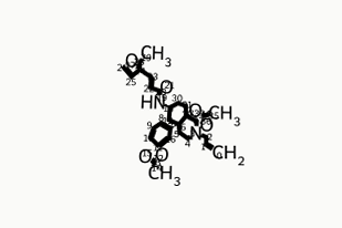 C=CCN1CC[C@@]2(c3cccc(OC(C)=O)c3)C[C@@H](NC(=O)/C=C/c3ccoc3C)CC[C@]2(OC(C)=O)C1